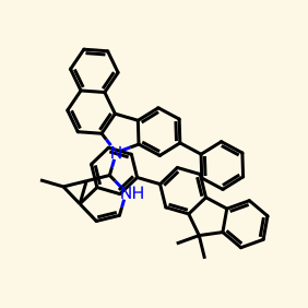 CC1C2C(n3c4cc(-c5ccccc5)ccc4c4c5ccccc5ccc43)NC=CC12c1cccc(-c2ccc3c(c2)C(C)(C)c2ccccc2-3)c1